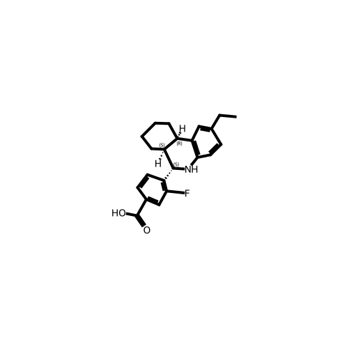 CCc1ccc2c(c1)[C@@H]1CCCC[C@@H]1[C@@H](c1ccc(C(=O)O)cc1F)N2